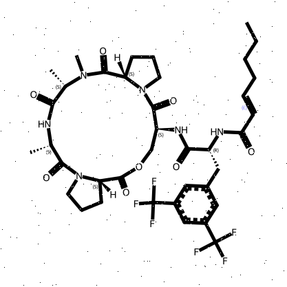 CCCC/C=C/C(=O)N[C@H](Cc1cc(C(F)(F)F)cc(C(F)(F)F)c1)C(=O)N[C@H]1COC(=O)[C@@H]2CCCN2C(=O)[C@H](C)NC(=O)[C@H](C)N(C)C(=O)[C@@H]2CCCN2C1=O